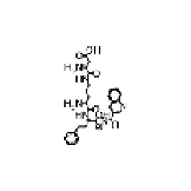 NC(=O)c1cnc2ccccc2c1.N[C@@H](CC(=O)O)C(=O)NCCC[C@H](N)C(=O)N[C@H](CCc1ccccc1)C(=O)O